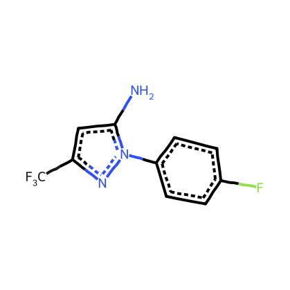 Nc1cc(C(F)(F)F)nn1-c1ccc(F)cc1